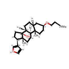 CNCCO[C@H]1CC[C@@]2(C)[C@H](CC[C@@H]3[C@@H]2CC[C@]2(C)[C@@H](c4ccoc4)CC[C@]32O)C1